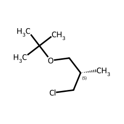 C[C@H](CCl)COC(C)(C)C